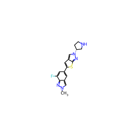 Cn1cc2cc(-c3cc4cn([C@@H]5CCNC5)nc4s3)cc(F)c2n1